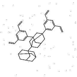 C=Cc1cc(C=C)cc(C23CC4CC(c5cc(C=C)cc(C=C)c5)(C2)CC(C25CC6CC(CC(C6)C2)C5)(C4)C3)c1